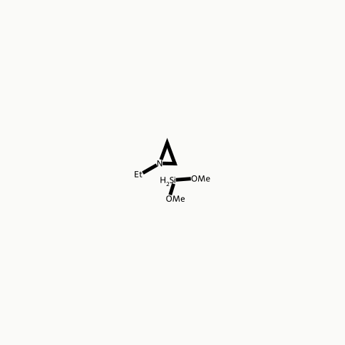 CCN1CC1.CO[SiH2]OC